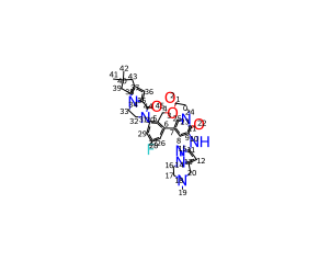 CC(=O)OCc1c(-c2cc(Nc3cc4n(n3)CCN(C)C4)c(=O)n(C)c2)cc(F)cc1N1CCn2c(cc3c2CC(C)(C)C3)C1=O